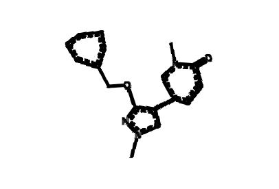 Cn1cc(-c2ccc(=O)n(C)c2)c(OCc2ccccc2)n1